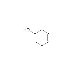 OC1C[C]=CCC1